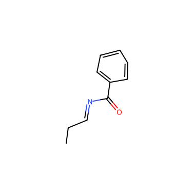 CCC=NC(=O)c1ccccc1